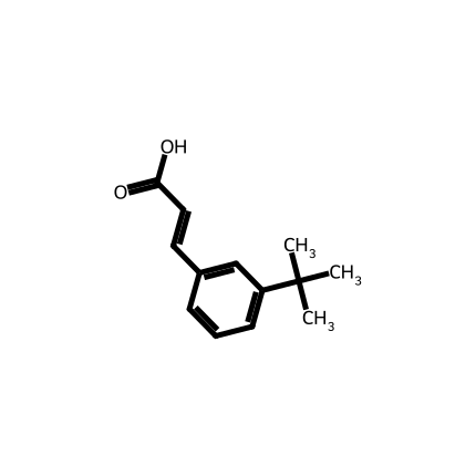 CC(C)(C)c1cccc(C=CC(=O)O)c1